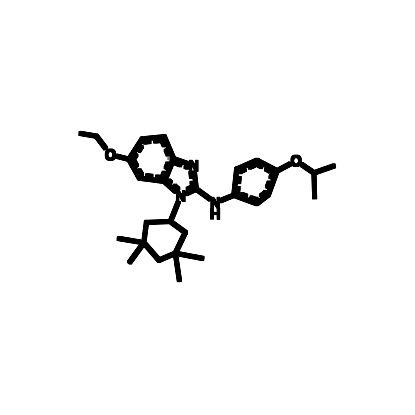 CCOc1ccc2nc(Nc3ccc(OC(C)C)cc3)n(C3CC(C)(C)CC(C)(C)C3)c2c1